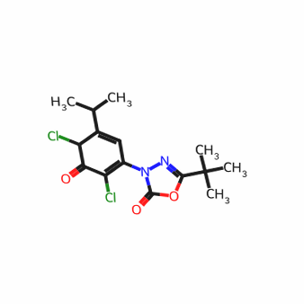 CC(C)C1=CC(n2nc(C(C)(C)C)oc2=O)=C(Cl)C(=O)C1Cl